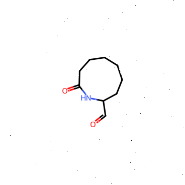 O=CC1CCCCCCC(=O)N1